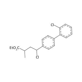 CCOC(=O)C(C)CC(Cl)c1ccc(-c2ccccc2Cl)cc1